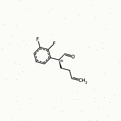 C=CCC[C@H](C=O)c1cccc(F)c1F